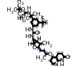 C=C1/C(=C\C=C(/C)Oc2ccnc3c2CCC(=O)N3)O[C@@H]2[C@@H](NC(=O)Nc3cc(C(F)(F)F)cc(C(C)(C)NC(=O)OC(C)(C)C)c3)[C@H]12